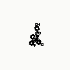 O=C(OC1([C@H]2CCC[C@@H](c3cncc(F)c3)N2S(=O)(=O)c2ccc(Cl)cc2)CC1)N1CCC(O)CC1